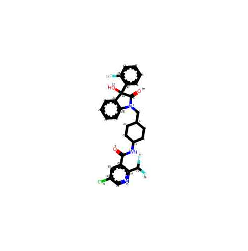 O=C(NC1CCC(CN2C(=O)C(O)(c3ccccc3F)c3ccccc32)CC1)c1cc(Cl)cnc1C(F)F